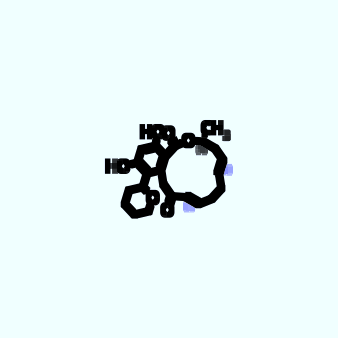 C[C@@H]1C/C=C/CC/C=C/C(=O)Cc2c(c(O)cc(O)c2C2CCCCO2)C(=O)O1